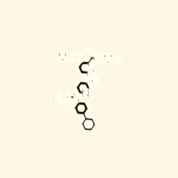 COC(=O)c1nc(Nc2ccc(N(C)c3ccc(C4CCCCC4)cc3)nc2)ccc1OC